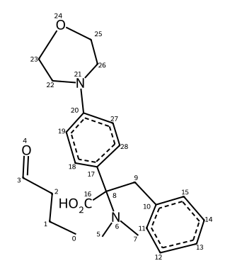 CCCC=O.CN(C)C(Cc1ccccc1)(C(=O)O)c1ccc(N2CCOCC2)cc1